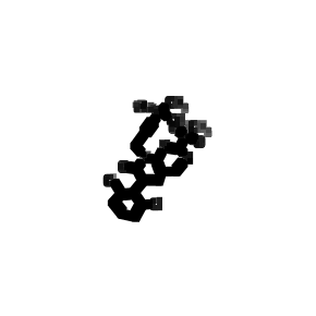 CC(C)(C)[Si](C)(C)C#CCn1c(=O)c(-c2c(Cl)cccc2Cl)cc2cnc(S(C)(=O)=O)nc21